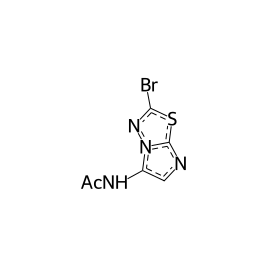 CC(=O)Nc1cnc2sc(Br)nn12